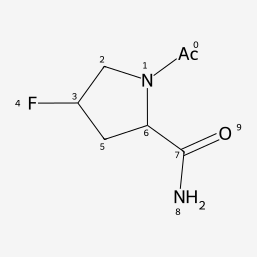 CC(=O)N1CC(F)CC1C(N)=O